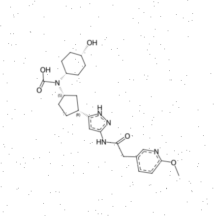 COc1ccc(CC(=O)Nc2cc([C@@H]3CC[C@H](N(C(=O)O)[C@H]4CC[C@@H](O)CC4)C3)[nH]n2)cn1